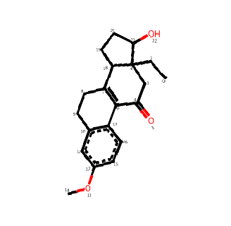 CCC12CC(=O)C3=C(CCc4cc(OC)ccc43)C1CCC2O